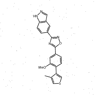 COc1cc(-c2nc(-c3ccc4[nH]ncc4c3)no2)ccc1-c1cscc1C